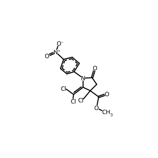 COC(=O)C1(Cl)CC(=O)N(c2ccc([N+](=O)[O-])cc2)C1=C(Cl)Cl